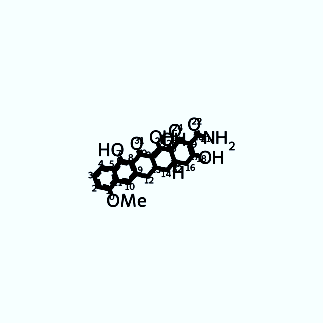 COc1cccc2c(O)c3c(cc12)CC1C[C@H]2CC(O)=C(C(N)=O)C(=O)[C@@]2(O)C(O)=C1C3=O